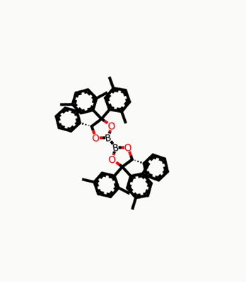 Cc1ccc(C)c(C2(c3cc(C)ccc3C)OB(B3O[C@H](c4ccccc4)C(c4cc(C)ccc4C)(c4cc(C)ccc4C)O3)O[C@@H]2c2ccccc2)c1